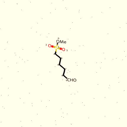 COS(=O)(=O)CCCCCC=O